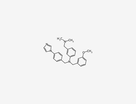 COc1cccc(CN(Cc2ccc(-n3ccnc3)cc2)c2cccc(CN(C)C)c2)c1